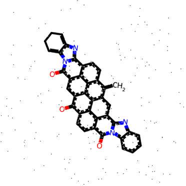 C=c1c2ccc3c4c(cc5c(=O)c6ccc7c(=O)n8c9ccccc9nc8c8cc1c(c6c78)c5c24)c(=O)n1c2c(nc31)=CCCC=2